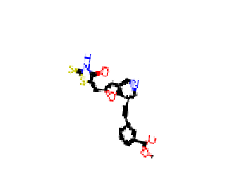 COC(=O)c1cccc(C#Cc2cncc3cc(C=C4SC(=S)NC4=O)oc23)c1